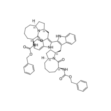 O=C(N[C@H]1CCCC[C@H]2CC[C@@H](Cc3c(-c4[nH]c5ccccc5c4C[C@@H]4CC[C@@H]5CCCC[C@H](NC(=O)OCc6ccccc6)C(=O)N54)[nH]c4ccccc34)N2C1=O)OCc1ccccc1